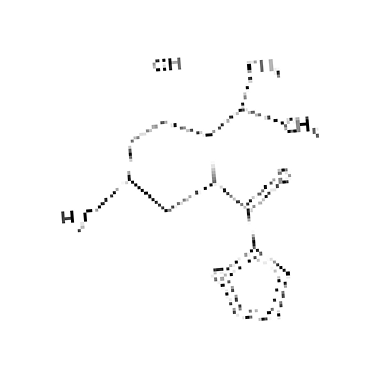 CC1CC(O)C(C(C)C)C(C(=O)c2ccco2)C1